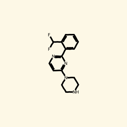 FC(F)c1ccccc1-c1nccc(N2CCNCC2)n1